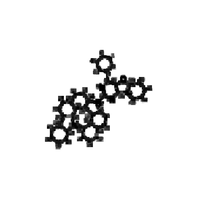 c1ccc(-c2nc(-n3c4ccc5cccc6c5c4c4c5c(ccc7c8ccccc8n6c75)ccc43)nc3c2oc2ccccc23)cc1